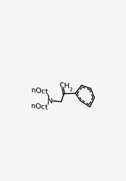 C=C(CN(CCCCCCCC)CCCCCCCC)c1ccccc1